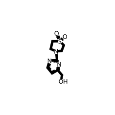 O=S1(=O)CCN(c2nccc(CO)n2)CC1